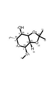 CO[C@H]1O[C@H](C)[C@@H](O)C2OC(C)(C)O[C@@H]21